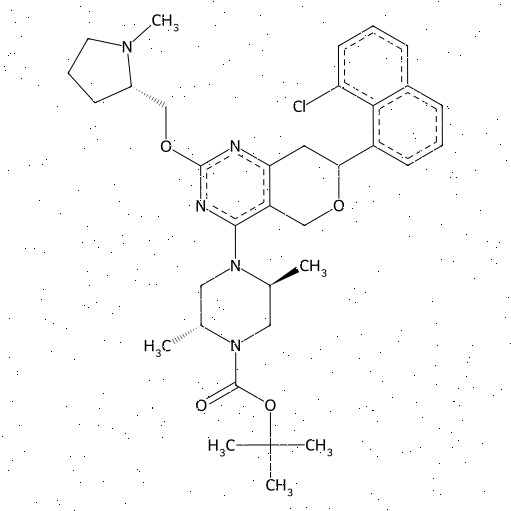 C[C@@H]1CN(c2nc(OC[C@@H]3CCCN3C)nc3c2COC(c2cccc4cccc(Cl)c24)C3)[C@@H](C)CN1C(=O)OC(C)(C)C